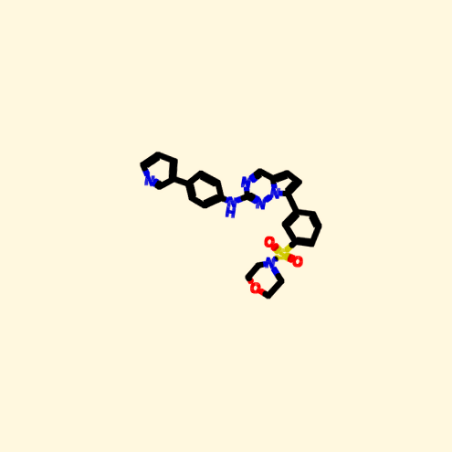 O=S(=O)(c1cccc(-c2ccc3cnc(Nc4ccc(-c5cccnc5)cc4)nn23)c1)N1CCOCC1